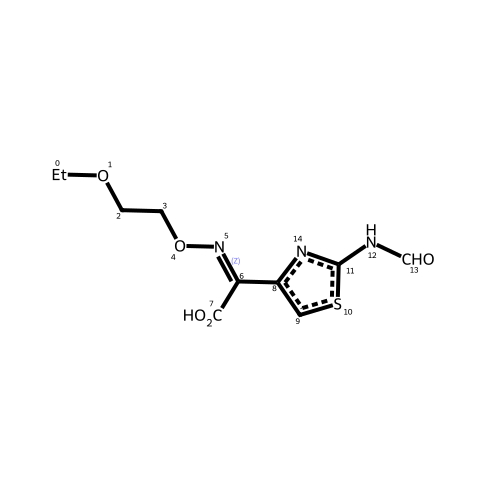 CCOCCO/N=C(\C(=O)O)c1csc(NC=O)n1